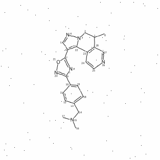 CC1Cn2ncc(-c3nc(-c4ccc(CN(C)C)cc4)no3)c2-c2ccncc21